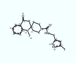 Cc1cc(CNC(=O)N2CCC3(CC2)CC(=O)c2ccccc2N3F)n[nH]1